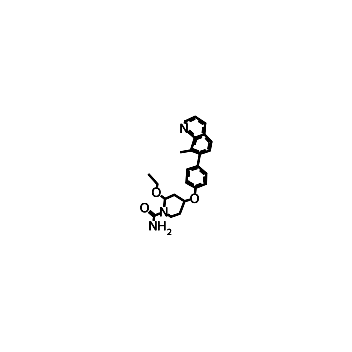 CCOC1CC(Oc2ccc(-c3ccc4cccnc4c3C)cc2)CCN1C(N)=O